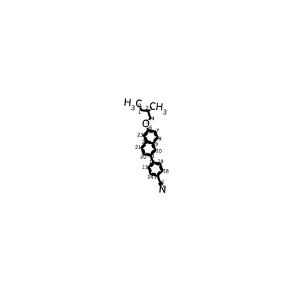 CCC(C)COc1ccc2cc(-c3ccc(C#N)cc3)ccc2c1